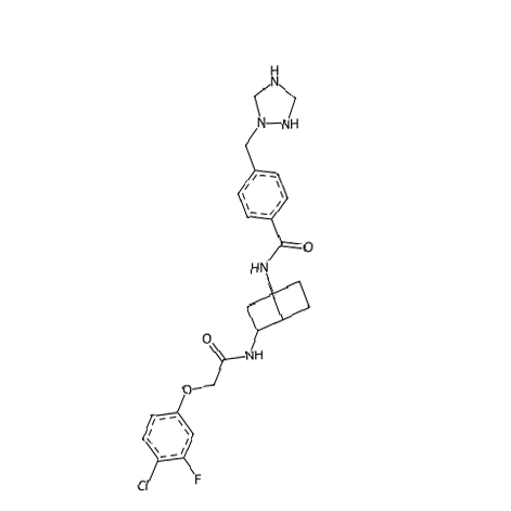 O=C(COc1ccc(Cl)c(F)c1)NC1CC2(NC(=O)c3ccc(CN4CNCN4)cc3)CCC12